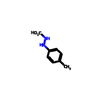 Cc1ccc(NNC(=O)O)cc1